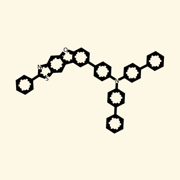 c1ccc(-c2ccc(N(c3ccc(-c4ccccc4)cc3)c3ccc(-c4ccc5oc6cc7nc(-c8ccccc8)sc7cc6c5c4)cc3)cc2)cc1